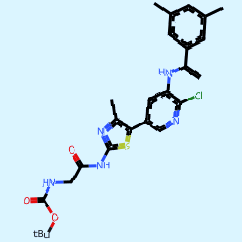 C=C(Nc1cc(-c2sc(NC(=O)CNC(=O)OC(C)(C)C)nc2C)cnc1Cl)c1cc(C)cc(C)c1